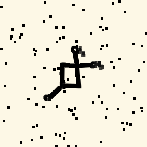 CC1(C)CN(Cl)C1